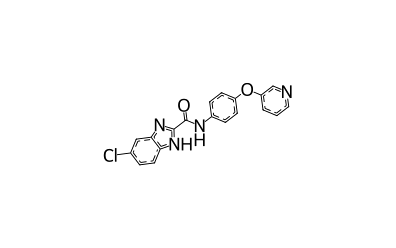 O=C(Nc1ccc(Oc2cccnc2)cc1)c1nc2cc(Cl)ccc2[nH]1